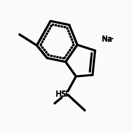 Cc1ccc2c(c1)C([SiH](C)C)C=C2.[Na]